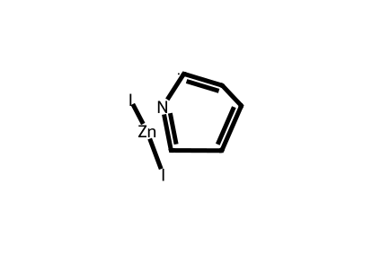 [I][Zn][I].[c]1ccccn1